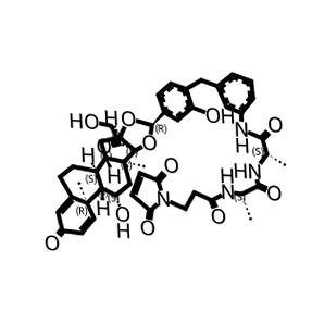 C[C@H](NC(=O)CCN1C(=O)C=CC1=O)C(=O)N[C@@H](C)C(=O)Nc1cccc(Cc2ccc([C@@H]3O[C@@H]4C[C@H]5[C@@H]6CCC7=CC(=O)C=C[C@]7(C)[C@H]6[C@@H](O)C[C@]5(C)[C@]4(C(=O)CO)O3)cc2O)c1